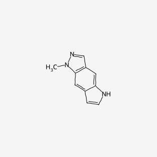 Cn1ncc2cc3[nH]ccc3cc21